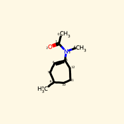 CC(=O)N(C)C1=CCC(C)CCC1